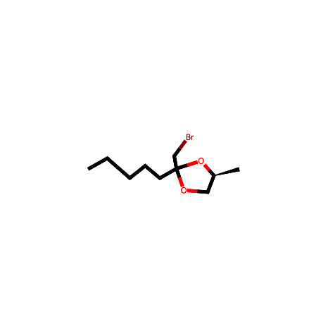 CCCCCC1(CBr)OC[C@H](C)O1